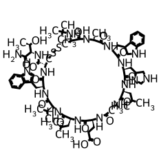 CC(C)C[C@@H]1NC(=O)[C@H](CC2CNCN2)NC(=O)[C@H](CC2CNc3ccccc32)NC(=O)[C@H](C)NC(=O)[C@@H](NC(C)(C)C)CSSC[C@@H](C(=O)N[C@H](C(N)=O)[C@@H](C)O)NC(=O)[C@H](Cc2c[nH]c3ccccc23)NC(=O)[C@H](C(C)C)NC(=O)[C@H](CC(C)C)NC(=O)[C@H](CCC(=O)O)NC(=O)CNC1=O